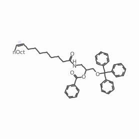 CCCCCCCC/C=C\CCCCCCCC(=O)NCC(COC(c1ccccc1)(c1ccccc1)c1ccccc1)OC(=O)c1ccccc1